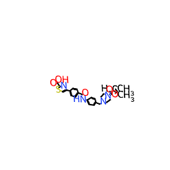 CC(C)(C)OC(=O)N1CCN(Cc2ccc(NC(=O)c3ccc(-c4csc(C(=O)O)n4)cc3)cc2)CC1